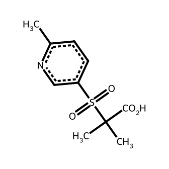 Cc1ccc(S(=O)(=O)C(C)(C)C(=O)O)cn1